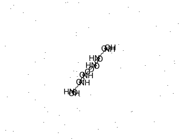 O=C(CCCCCCC(=O)Nc1ccc(C(=O)NCCOCCOCCNC(=O)c2ccc(NC(=O)CCCCCCC(=O)NO)cc2)cc1)NO